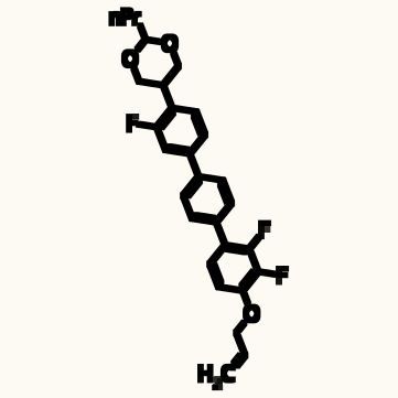 C=CCOc1ccc(-c2ccc(-c3ccc(C4COC(CCC)OC4)c(F)c3)cc2)c(F)c1F